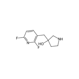 OC1(Cc2ccc(F)nc2F)CCNC1